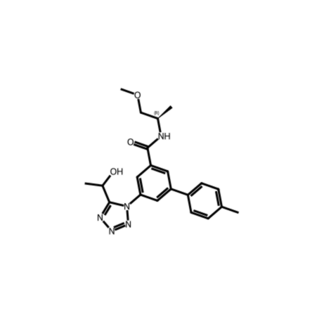 COC[C@@H](C)NC(=O)c1cc(-c2ccc(C)cc2)cc(-n2nnnc2C(C)O)c1